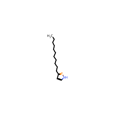 CCCCCCCCCCCc1cc[nH]p1